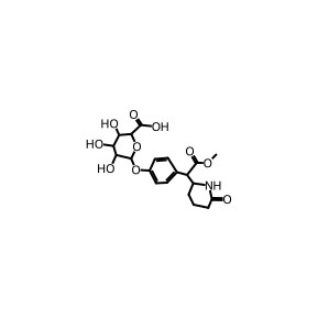 COC(=O)C(c1ccc(OC2OC(C(=O)O)C(O)C(O)C2O)cc1)C1CCCC(=O)N1